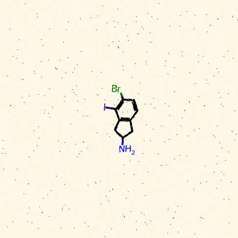 NC1Cc2ccc(Br)c(I)c2C1